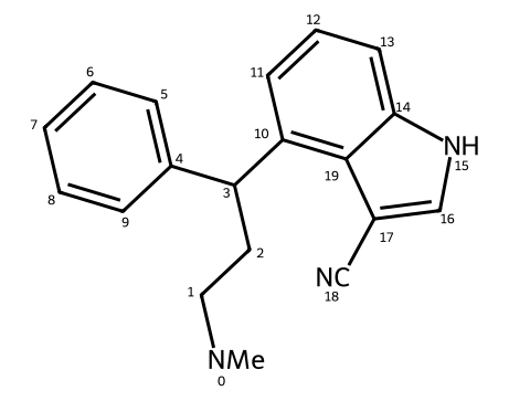 CNCCC(c1ccccc1)c1cccc2[nH]cc(C#N)c12